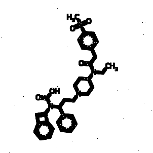 CCN(C(=O)Cc1ccc(S(C)(=O)=O)cc1)C1CCN(CCC(c2ccccc2)N(C(=O)O)C2=Cc3ccccc32)CC1